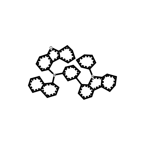 c1ccc(-n2c3ccccc3c3cccc(-c4cccc(N(c5cccc6ccccc56)c5cccc6oc7ccccc7c56)c4)c32)cc1